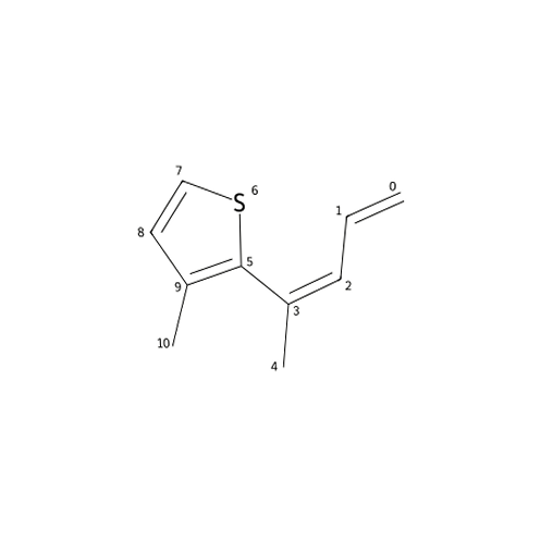 C=C/C=C(/C)c1sccc1C